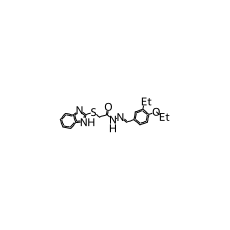 CCOc1ccc(/C=N/NC(=O)CSc2nc3ccccc3[nH]2)cc1CC